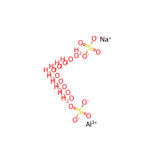 O.O.O.O.O.O.O.O.O.O.O=S(=O)([O-])[O-].O=S(=O)([O-])[O-].[Al+3].[Na+]